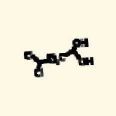 ClC(Cl)Cl.OC(O)C(Cl)(Cl)Cl